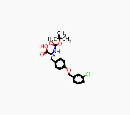 CC(C)(C)OC(=O)N[C@@H](Cc1ccc(OCc2cccc(Cl)c2)cc1)C(=O)O